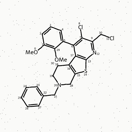 COc1cccc(-c2c(Cl)c(CCl)nc3sc4c(c23)CCN(Cc2ccccc2)C4)c1OC